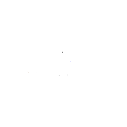 O=S(=O)(O)c1ccc(Br)cc1C1CC[C@@H]2CN(c3cccc(C(F)(F)F)n3)C[C@H]12